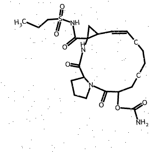 CCCS(=O)(=O)NC(=O)C12CC1C=CCCCCCC(OC(N)=O)C(=O)N1CCCC1C(=O)N2